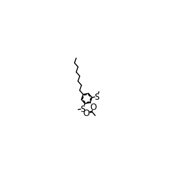 CCCCCCCCc1cc(SC)c(OC(C)=O)c(SC)c1